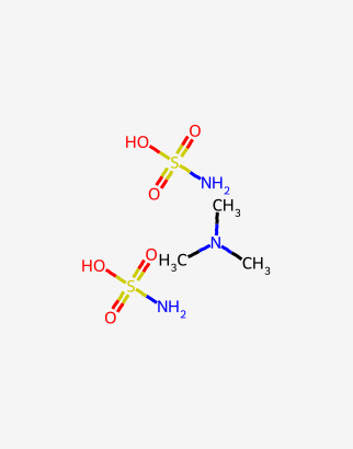 CN(C)C.NS(=O)(=O)O.NS(=O)(=O)O